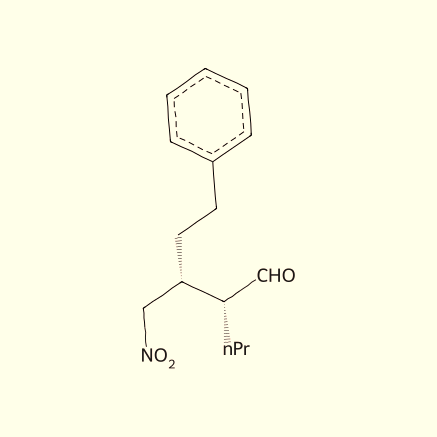 CCC[C@@H](C=O)[C@@H](CCc1ccccc1)C[N+](=O)[O-]